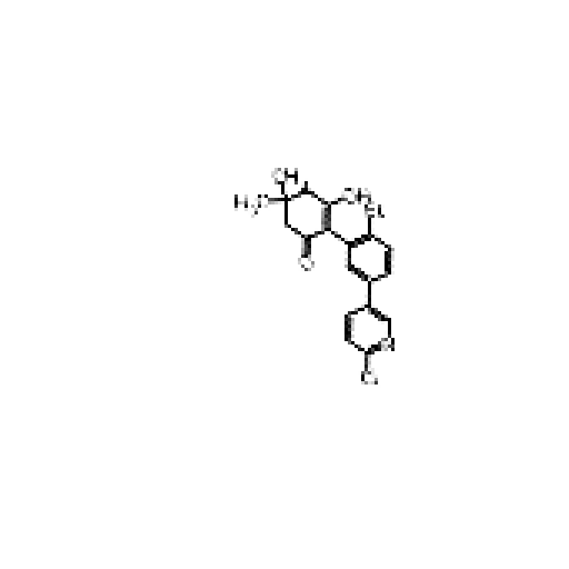 CCc1ccc(-c2ccc(Cl)nc2)cc1C1=C(O)CC(C)(C)CC1=O